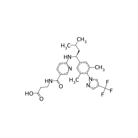 Cc1cc([C@H](CC(C)C)Nc2ccc(C(=O)NCCC(=O)O)cn2)cc(C)c1-n1cc(C(F)(F)F)cn1